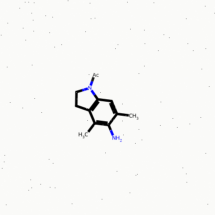 CC(=O)N1CCc2c1cc(C)c(N)c2C